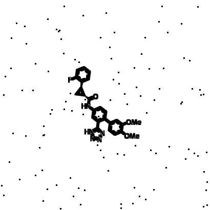 COc1ccc(-c2ccc(NC(=O)[C@@H]3C[C@H]3c3ccccc3F)cc2-c2nnn[nH]2)cc1OC